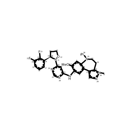 COc1cc2c(cc1Nc1cc(N3OCC[C@@H]3c3cccc(F)c3F)ncn1)-c1cnn(C)c1CCN2C(C)C